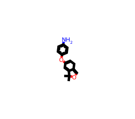 CC1(C)OC=C2CC=C(Oc3ccc(N)cc3)C=C21